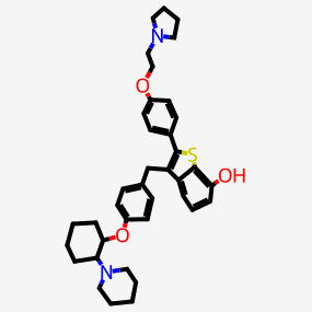 Oc1cccc2c(Cc3ccc(OC4CCCCC4N4CCCCC4)cc3)c(-c3ccc(OCCN4CCCC4)cc3)sc12